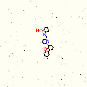 Oc1ccccc1/N=C/c1cccc(-c2cccc3c2oc2ccccc23)n1